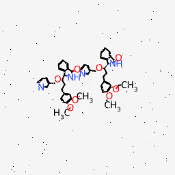 CCOc1ccc(CCC(OCc2cccnc2)[C@@H]2NC(=O)c3ccccc32)cc1OCC.COc1ccc(CCC(OCc2cccnc2)C2NC(=O)c3ccccc32)cc1OC